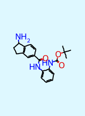 CC(C)(C)OC(=O)Nc1ccccc1NC(=O)c1ccc2c(c1)CCC2N